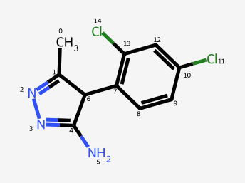 CC1=NN=C(N)C1c1ccc(Cl)cc1Cl